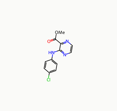 COC(=O)c1nccnc1Nc1ccc(Cl)cc1